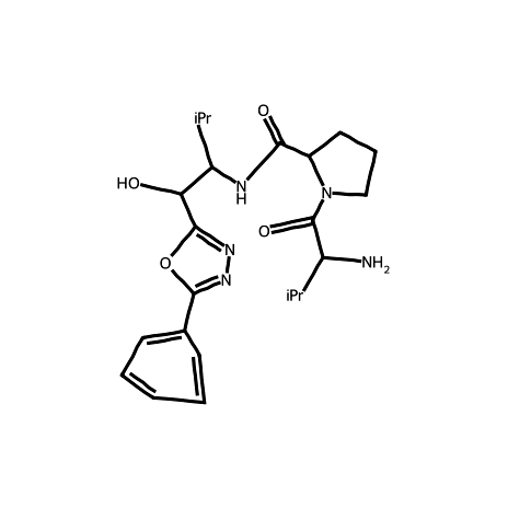 CC(C)C(N)C(=O)N1CCCC1C(=O)NC(C(C)C)C(O)c1nnc(-c2ccccc2)o1